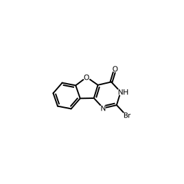 O=c1[nH]c(Br)nc2c1oc1ccccc12